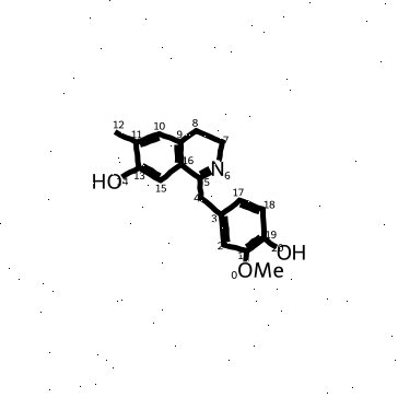 COc1cc(CC2=NCCc3cc(C)c(O)cc32)ccc1O